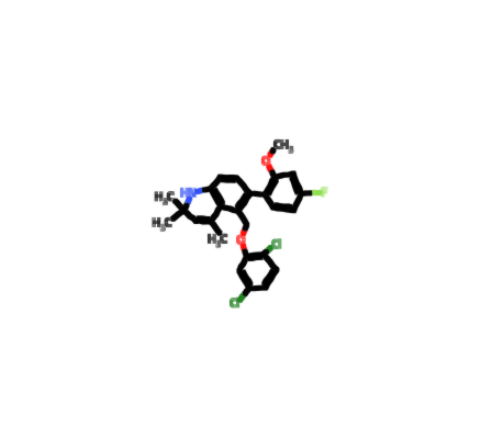 COc1cc(F)ccc1-c1ccc2c(c1COc1cc(Cl)ccc1Cl)C(C)=CC(C)(C)N2